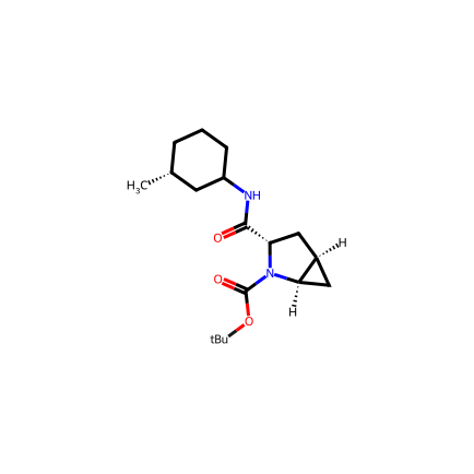 C[C@@H]1CCCC(NC(=O)[C@@H]2C[C@H]3C[C@H]3N2C(=O)OC(C)(C)C)C1